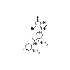 C=C(Nc1ccc(C)cc1N)C1(CN)CCN(c2ncnc3[nH]cc(Br)c23)CC1